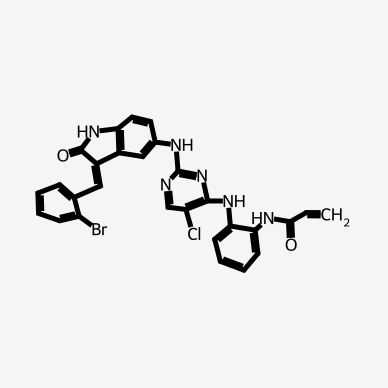 C=CC(=O)Nc1ccccc1Nc1nc(Nc2ccc3c(c2)/C(=C/c2ccccc2Br)C(=O)N3)ncc1Cl